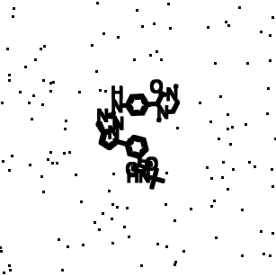 CN1CCN(C)C(c2ccc(Nc3ncc4ccc(-c5cccc(S(=O)(=O)NC(C)(C)C)c5)n4n3)cc2)C1=O